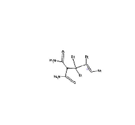 CC/C=C(\CC)C(CC)(CC)C(C(N)=O)C(N)=O